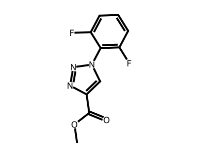 COC(=O)c1cn(-c2c(F)cccc2F)nn1